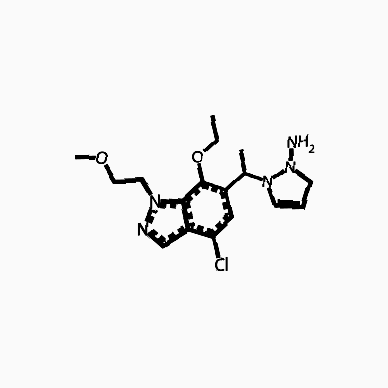 CCOc1c(C(C)N2C=CCN2N)cc(Cl)c2cnn(CCOC)c12